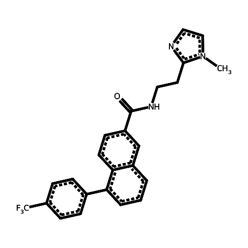 Cn1ccnc1CCNC(=O)c1ccc2c(-c3ccc(C(F)(F)F)cc3)cccc2c1